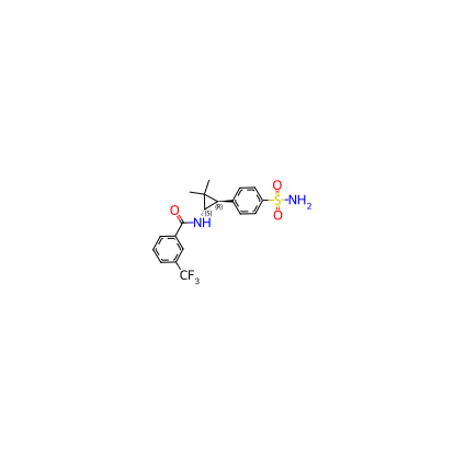 CC1(C)[C@@H](NC(=O)c2cccc(C(F)(F)F)c2)[C@@H]1c1ccc(S(N)(=O)=O)cc1